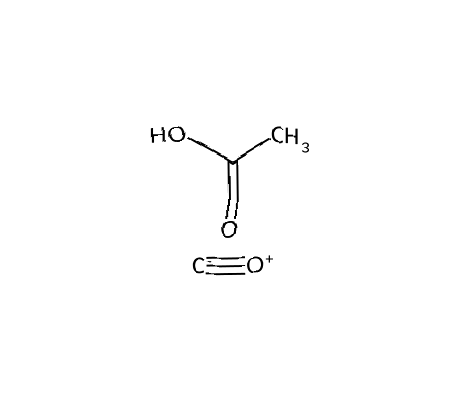 CC(=O)O.[C-]#[O+]